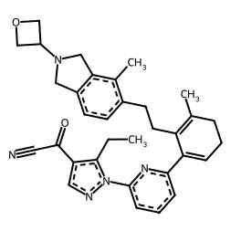 CCc1c(C(=O)C#N)cnn1-c1cccc(C2=CCCC(C)=C2CCc2ccc3c(c2C)CN(C2COC2)C3)n1